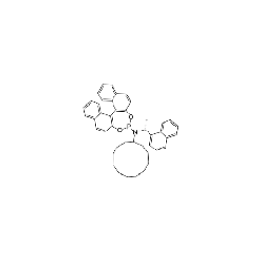 C[C@H](c1cccc2ccccc12)N(C1CCCCCCCCCCC1)p1oc2ccc3ccccc3c2c2c(ccc3ccccc32)o1